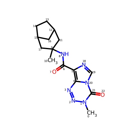 Cn1nnc2c(C(=O)NC3(C)CC4CCC(C4)C3)ncn2c1=O